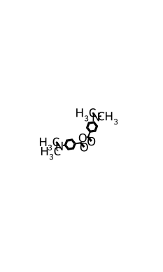 CN(C)c1ccc(C(=O)OC(=O)c2ccc(N(C)C)cc2)cc1